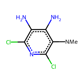 CNc1c(Cl)nc(Cl)c(N)c1N